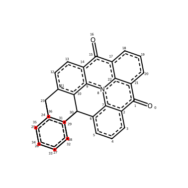 O=c1c2cccc3c2n2c4c5c(ccc4c(=O)c4cccc1c42)C1c2ccccc2C35c2ccccc21